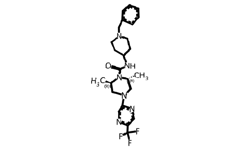 C[C@@H]1CN(c2cnc(C(F)(F)F)cn2)C[C@@H](C)N1C(=O)NC1CCN(Cc2ccccc2)CC1